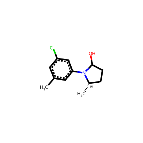 Cc1cc(Cl)cc(N2C(O)CC[C@@H]2C)c1